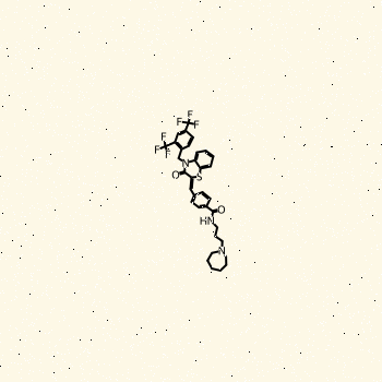 O=C(NCCCN1CCCCCC1)c1ccc(C=C2Sc3ccccc3N(Cc3ccc(C(F)(F)F)cc3C(F)(F)F)C2=O)cc1